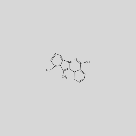 Cc1cccc2[nH]c(-c3ccccc3C(=O)O)c(C)c12